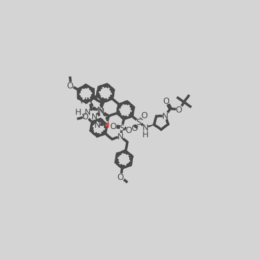 COc1ccc(CN(Cc2ccc(OC)cc2)S(=O)(=O)c2c(S(=O)(=O)N[C@@H]3CCN(C(=O)OC(C)(C)C)C3)ccc(-c3cccc4[nH]c(N)nc34)c2-c2nnnn2Cc2ccc(OC)cc2)cc1